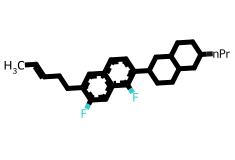 CC=CCCc1cc2ccc(C3CCC4CC(CCC)CCC4C3)c(F)c2cc1F